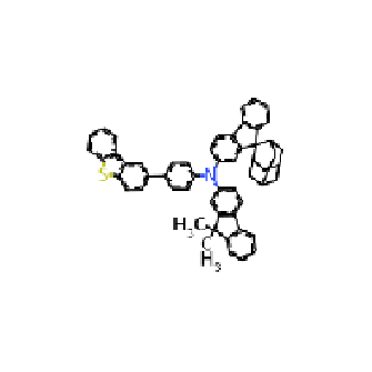 CC1(C)c2ccccc2-c2ccc(N(c3ccc(-c4ccc5sc6ccccc6c5c4)cc3)c3ccc4c(c3)C3(c5ccccc5-4)C4CC5CC(C4)CC3C5)cc21